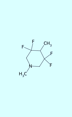 CC1C(F)(F)CN(C)CC1(F)F